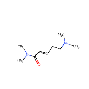 CCCCN(CCC)C(=O)/C=C/CCN(C)C